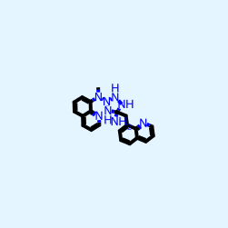 CN(c1cccc2cccnc12)N1NNC(N)(Cc2cccc3cccnc23)N1